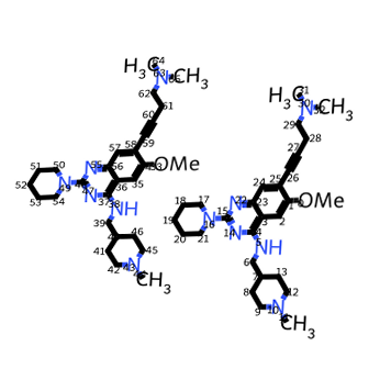 COc1cc2c(NCC3CCN(C)CC3)nc(N3CCCCC3)nc2cc1C#CCCN(C)C.COc1cc2c(NCC3CCN(C)CC3)nc(N3CCCCC3)nc2cc1C#CCCN(C)C